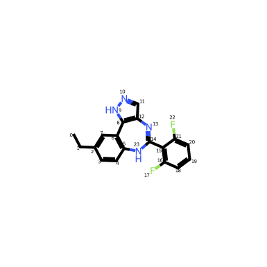 CCc1ccc2c(c1)-c1[nH]ncc1N=C(c1c(F)cccc1F)N2